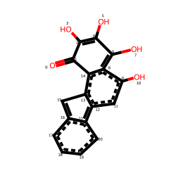 O=C1C(O)=C(O)C(O)=c2c(O)cc3c(c21)C=c1ccccc1=3